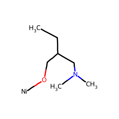 CCC(C[O][Ni])CN(C)C